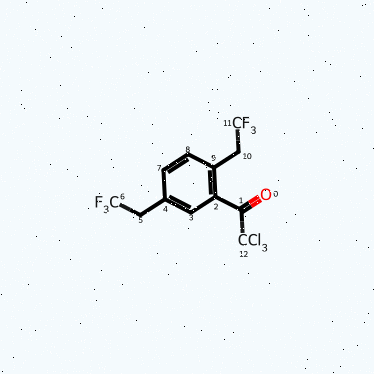 O=C(c1cc(CC(F)(F)F)ccc1CC(F)(F)F)C(Cl)(Cl)Cl